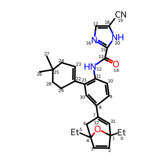 CCC12C=CC(CC)(CC(c3ccc(NC(=O)c4ncc(C#N)[nH]4)c(C4=CCC(C)(C)CC4)c3)=C1)O2